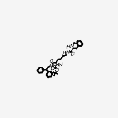 CC(C)(C)OC(=O)NC(CCCCNC(=O)[C@@H]1Cc2ccccc2CN1)C(=O)NCC(c1ccccc1)c1ccccc1